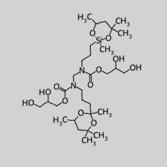 CC1CC(C)(C)OC(C)(CCCN(CN(CCC[Si]2(C)OC(C)CC(C)(C)O2)C(=O)OCC(O)CO)C(=O)OCC(O)CO)O1